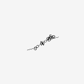 CCCCCCCCOc1ccc(-c2cnc(-c3ccc(C(=O)OC(CC(=O)CCCC)C(F)(F)F)cc3)nc2)cc1